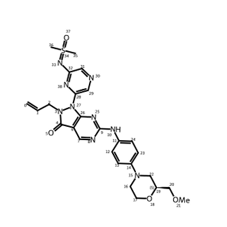 C=CCn1c(=O)c2cnc(Nc3ccc(N4CCO[C@H](COC)C4)cc3)nc2n1-c1cncc(N=S(C)(C)=O)n1